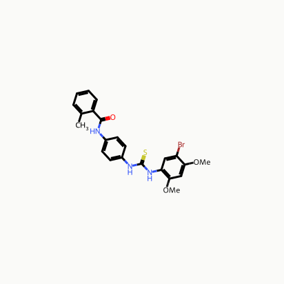 COc1cc(OC)c(NC(=S)Nc2ccc(NC(=O)c3ccccc3C)cc2)cc1Br